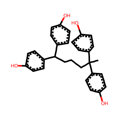 CC(CCCC(c1ccc(O)cc1)c1ccc(O)cc1)(c1ccc(O)cc1)c1ccc(O)cc1